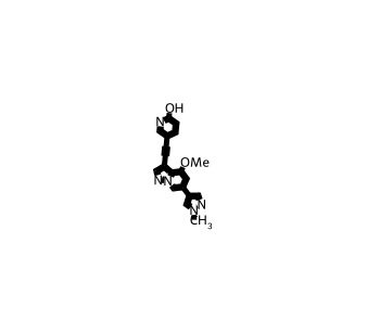 COc1cc(-c2cnn(C)c2)cn2ncc(C#Cc3ccc(O)nc3)c12